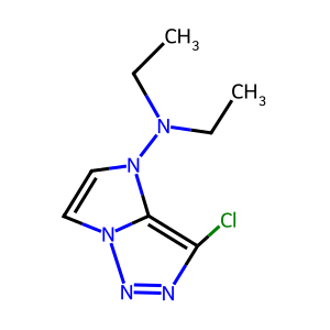 CCN(CC)n1ccn2nnc(Cl)c12